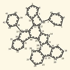 c1ccc(-n2c3ccccc3c3c2c2nc4c5cccnc5c5cccnc5n4c2c2c4ccccc4n(-c4ccccc4)c32)cc1